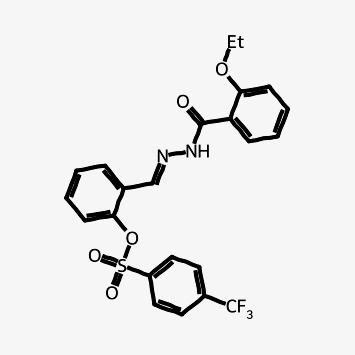 CCOc1ccccc1C(=O)NN=Cc1ccccc1OS(=O)(=O)c1ccc(C(F)(F)F)cc1